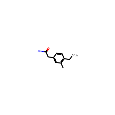 Cc1cc(CC([NH])=O)ccc1CS(=O)(=O)O